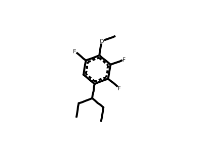 CCC(CC)c1cc(F)c(OC)c(F)c1F